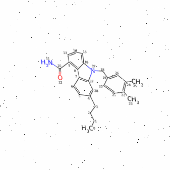 CCCCc1c[c]c2c3c(C(N)=O)cccc3n(Cc3ccc(C)c(C)c3)c2c1